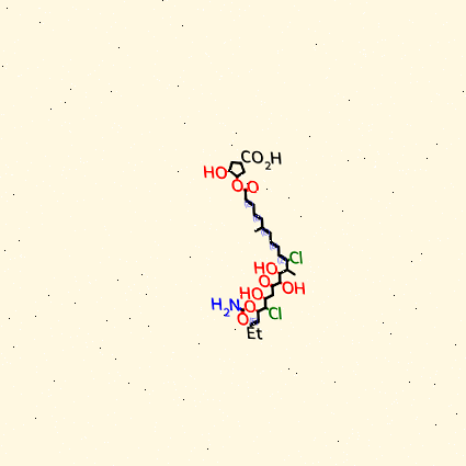 CC/C=C/C(OC(N)=O)C(Cl)C(O)CC(=O)C(O)C(O)C(C)/C(Cl)=C/C=C/C=C(C)/C=C/C=C/C(=O)OC1CC(C(=O)O)CC1O